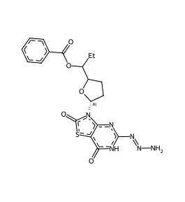 CCC(OC(=O)c1ccccc1)C1CC[C@H](n2c(=O)sc3c(=O)[nH]c(N=NN)nc32)O1